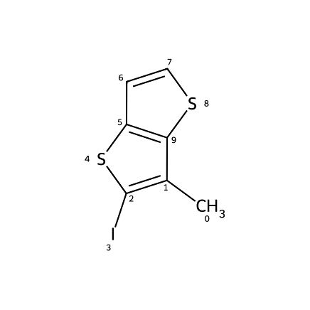 Cc1c(I)sc2ccsc12